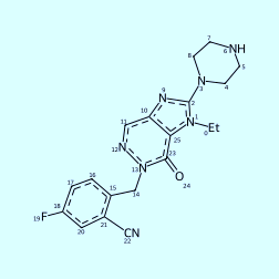 CCn1c(N2CCNCC2)nc2cnn(Cc3ccc(F)cc3C#N)c(=O)c21